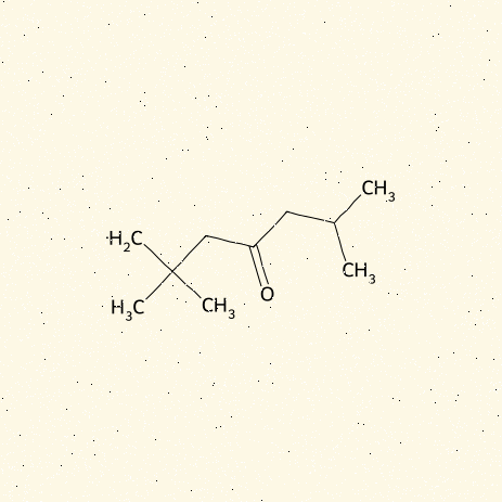 [CH2]C(C)(C)CC(=O)CC(C)C